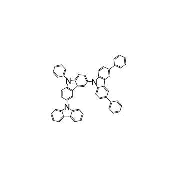 c1ccc(-c2ccc3c(c2)c2cc(-c4ccccc4)ccc2n3-c2ccc3c(c2)c2cc(-n4c5ccccc5c5ccccc54)ccc2n3-c2ccccc2)cc1